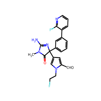 CN1C(=O)C(c2cccc(-c3cccnc3F)c2)(c2cc(C=O)n(CCF)c2)N=C1N